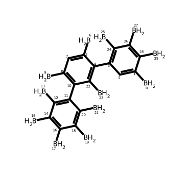 Bc1cc(-c2c(B)cc(B)c(-c3c(B)c(B)c(B)c(B)c3B)c2B)c(B)c(B)c1B